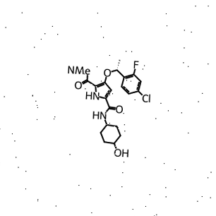 CNC(=O)c1[nH]c(C(=O)NC2CCC(O)CC2)cc1O[C@H](C)c1ccc(Cl)cc1F